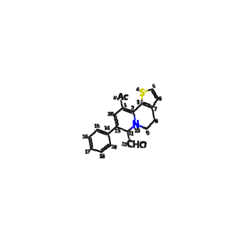 CC(=O)C1=C2c3sccc3CCN2C(C=O)C(c2ccccc2)=C1